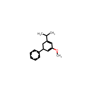 COC1=CC(c2ccccc2)CC(C(C)C)=C1